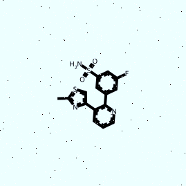 Cc1nc(-c2cccnc2-c2cc(F)cc(S(N)(=O)=O)c2)cs1